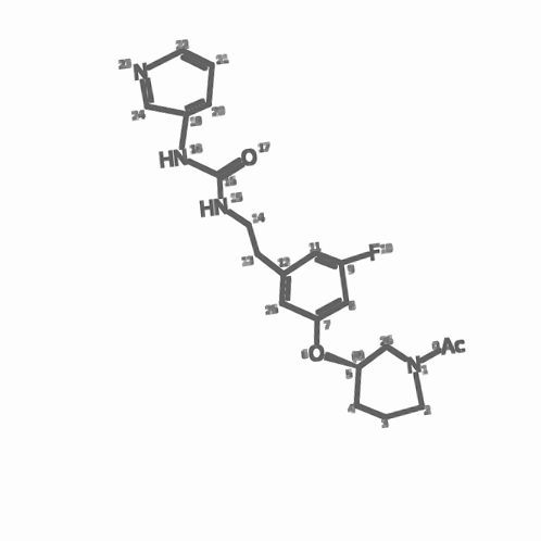 CC(=O)N1CCC[C@@H](Oc2cc(F)cc(CCNC(=O)Nc3cccnc3)c2)C1